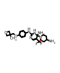 CC1(COc2ccc(NC3=NC=C(C(F)(F)F)C(N)(N4CCC(N)CC4)N3)cc2)COC1